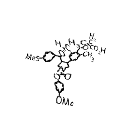 COc1ccc(OC(=O)N2CC(C(=O)c3ccc(SC)cc3)C(c3cc(C)c(COC(C)(C)C(=O)O)c(C)c3)C2)cc1